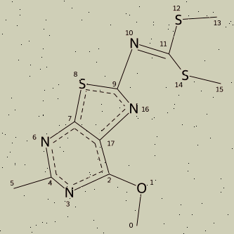 COc1nc(C)nc2sc(N=C(SC)SC)nc12